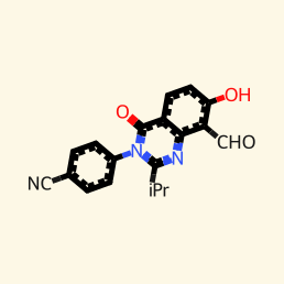 CC(C)c1nc2c(C=O)c(O)ccc2c(=O)n1-c1ccc(C#N)cc1